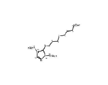 CCCCCCCCCCCCCCCCCCC1N(CCCCCCCCC)C=CN1CCCCCCCCC